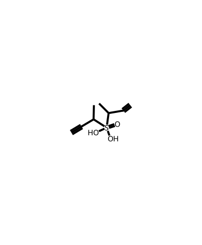 C#CC(C)S(=O)(O)(O)C(C)C#C